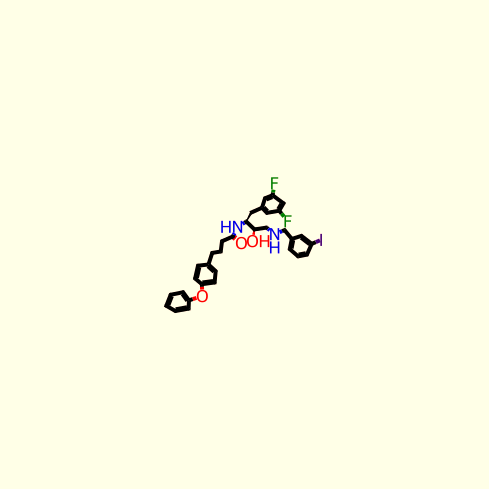 O=C(CCCc1ccc(Oc2ccccc2)cc1)N[C@@H](Cc1cc(F)cc(F)c1)[C@H](O)CNCc1cccc(I)c1